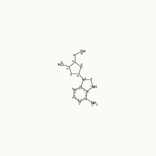 Nc1ncnc2c1NCN2C1CC(O)C(CO)O1